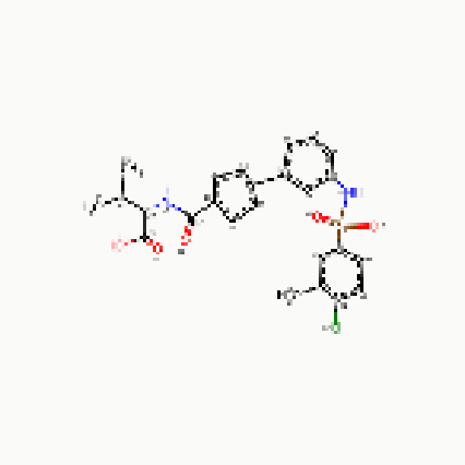 Cc1cc(S(=O)(=O)Nc2cccc(-c3ccc(C(=O)N[C@H](C(=O)O)C(C)C)cc3)c2)ccc1Cl